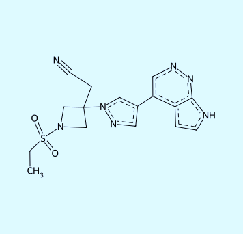 CCS(=O)(=O)N1CC(CC#N)(n2cc(-c3cnnc4[nH]ccc34)cn2)C1